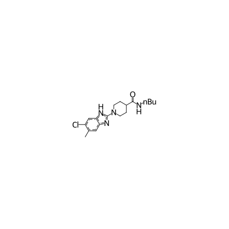 CCCCNC(=O)C1CCN(c2nc3cc(C)c(Cl)cc3[nH]2)CC1